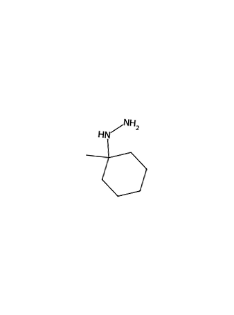 CC1(NN)CCCCC1